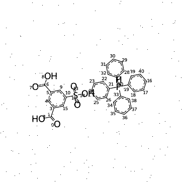 O=C(O)c1cc(C(=O)O)cc(S(=O)(=O)O)c1.c1ccc([PH](c2ccccc2)(c2ccccc2)c2ccccc2)cc1